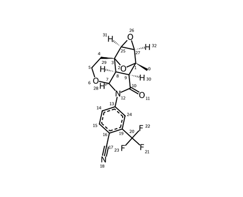 C[C@]12O[C@@]3(CCO[C@H]4[C@@H]3[C@@H]1C(=O)N4c1ccc(C#N)c(C(F)(F)F)c1)[C@H]1O[C@H]12